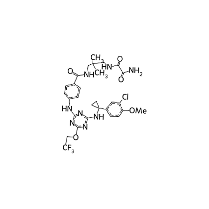 COc1ccc(C2(Nc3nc(Nc4ccc(C(=O)NCC(C)(C)CNC(=O)C(N)=O)cc4)nc(OCC(F)(F)F)n3)CC2)cc1Cl